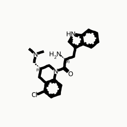 CN(C)C[C@H]1Cc2c(Cl)cccc2N(C(=O)[C@H](N)Cc2c[nH]c3ccccc23)C1